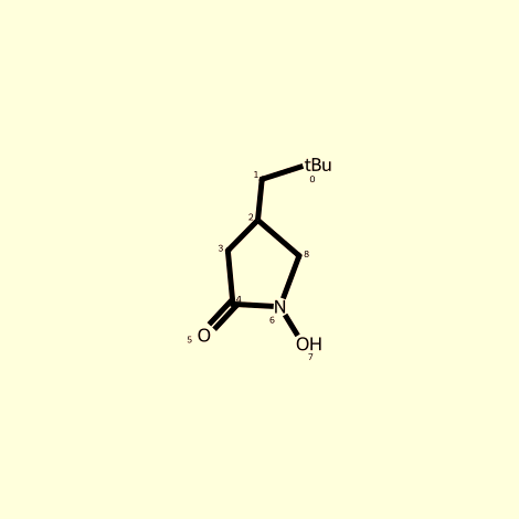 CC(C)(C)CC1CC(=O)N(O)C1